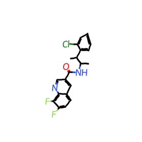 CC(NC(=O)c1cnc2c(F)c(F)ccc2c1)C(C)c1ccccc1Cl